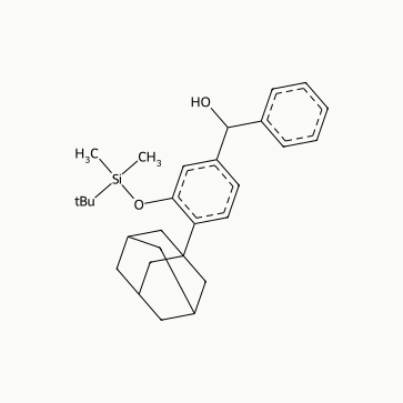 CC(C)(C)[Si](C)(C)Oc1cc(C(O)c2ccccc2)ccc1C12CC3CC(CC(C3)C1)C2